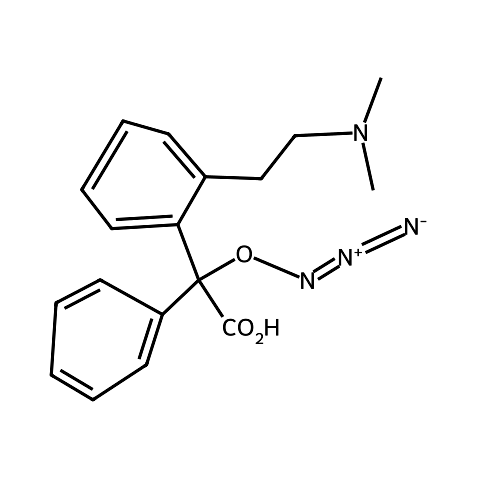 CN(C)CCc1ccccc1C(ON=[N+]=[N-])(C(=O)O)c1ccccc1